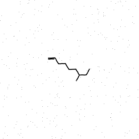 [CH2]CC(C)CCCCC=C